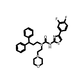 O=C(Nc1nc(-c2ccc(F)c(F)c2)cs1)N(CCC(c1ccccc1)c1ccccc1)CCN1CCOCC1